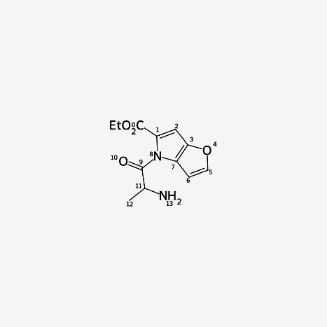 CCOC(=O)c1cc2occc2n1C(=O)C(C)N